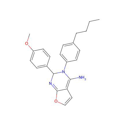 CCCCc1ccc(N2C(N)=c3ccoc3=NC2c2ccc(OC)cc2)cc1